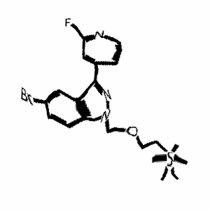 CS(C)(C)(C)(C)CCOCn1nc(-c2ccnc(F)c2)c2cc(Br)ccc21